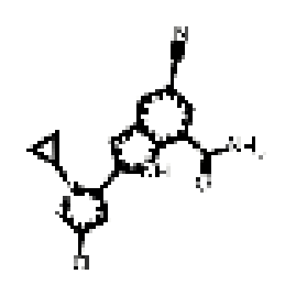 N#Cc1cc(C(N)=O)c2[nH]c(-c3cc(Cl)nn3C3CC3)cc2c1